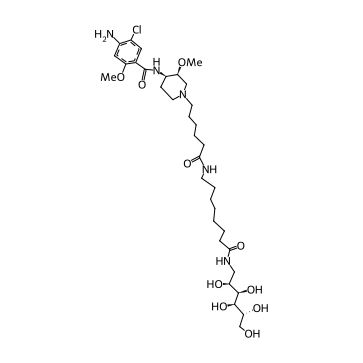 COc1cc(N)c(Cl)cc1C(=O)N[C@@H]1CCN(CCCCCC(=O)NCCCCCCCC(=O)NC[C@H](O)[C@@H](O)[C@H](O)[C@H](O)CO)C[C@@H]1OC